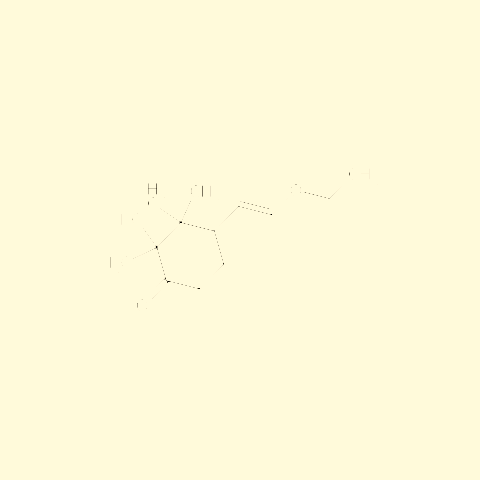 CCOC=CC1CCC(=O)C(C)(C)C1(C)C